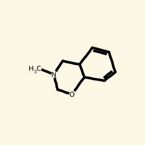 CN1COC2C=CC=CC2C1